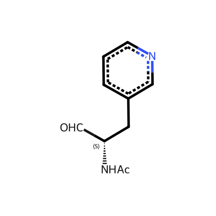 CC(=O)N[C@H](C=O)Cc1cccnc1